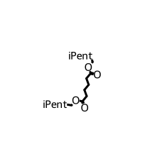 CCCC(C)COC(=O)CCCCC(=O)OCC(C)CCC